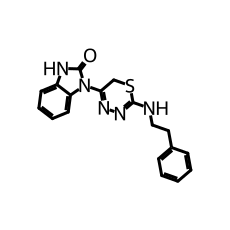 O=c1[nH]c2ccccc2n1C1=NN=C(NCCc2ccccc2)SC1